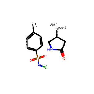 CCCCCC1CNC(=O)C1.Cc1ccc(S(=O)(=O)[N-]Cl)cc1.[Na+]